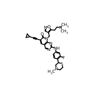 CN(C)CCc1oncc1Cn1c(=O)c(C#CC2CC2)cc2cnc(Nc3ccc(C4CN(C)CCS4)c(F)c3)nc21